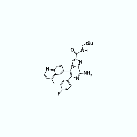 Cc1ccnc2ccc(-c3c(-c4ccc(F)cc4)nc(N)c4nc(C(=O)NCC(C)(C)C)cn34)cc12